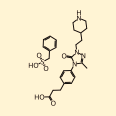 Cc1nn(CCC2CCNCC2)c(=O)n1-c1ccc(CCC(=O)O)cc1.O=S(=O)(O)Cc1ccccc1